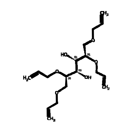 C=CCOC[C@@H](OCC=C)[C@@H](O)[C@H](O)[C@@H](COCC=C)OCC=C